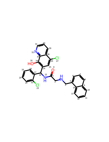 O=C(CNCc1cccc2ccccc12)NC(c1ccccc1Cl)c1cc(Cl)c2cccnc2c1O